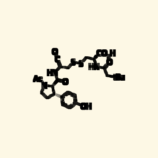 CC(=O)N1CC[C@@H](c2ccc(O)cc2)[C@@H]1C(=O)NC(=C=O)CSSC[C@H](NC(=O)CC(C)(C)C)C(=O)O